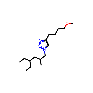 CCC(CC)CC(C)Cn1cc(CCCCOC)nn1